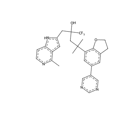 Cc1nccc2[nH]c(CC(O)(CC(C)(C)c3cc(-c4cncnc4)cc4c3OCC4)C(F)(F)F)cc12